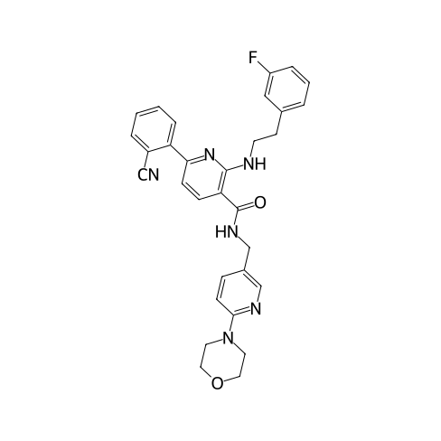 N#Cc1ccccc1-c1ccc(C(=O)NCc2ccc(N3CCOCC3)nc2)c(NCCc2cccc(F)c2)n1